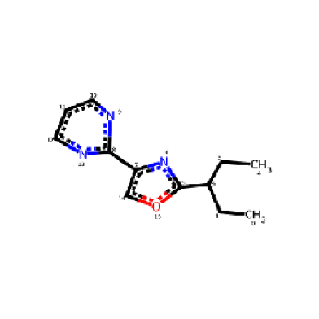 CCC(CC)c1nc(-c2ncccn2)co1